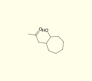 CC(=O)CC1CCCCCC1O